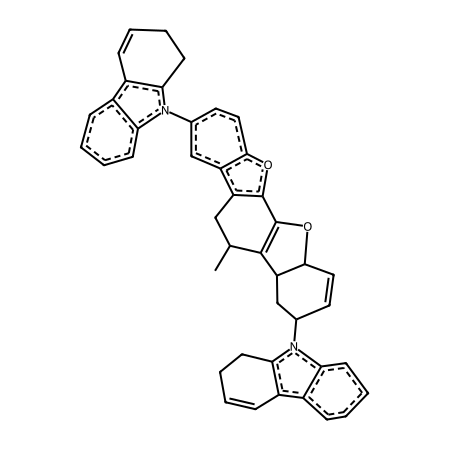 CC1Cc2c(oc3ccc(-n4c5c(c6ccccc64)C=CCC5)cc23)C2=C1C1CC(n3c4c(c5ccccc53)C=CCC4)C=CC1O2